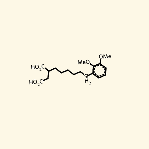 COc1cccc([SiH2]CCCCCC(CC(=O)O)C(=O)O)c1OC